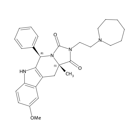 COc1ccc2[nH]c3c(c2c1)C[C@@]1(C)C(=O)N(CCN2CCCCCC2)C(=O)N1[C@@H]3c1ccccc1